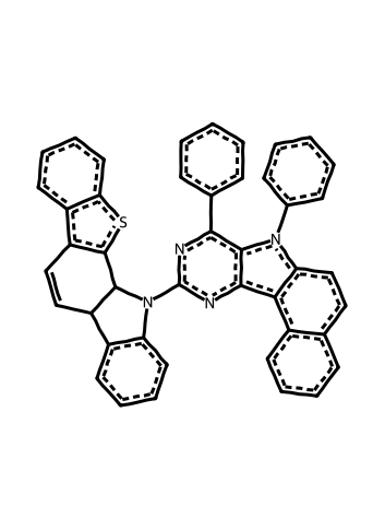 C1=CC2c3ccccc3N(c3nc(-c4ccccc4)c4c(n3)c3c5ccccc5ccc3n4-c3ccccc3)C2c2sc3ccccc3c21